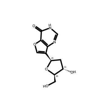 O=c1[nH]cnc2c([C@H]3C[C@H](O)[C@@H](CO)O3)coc12